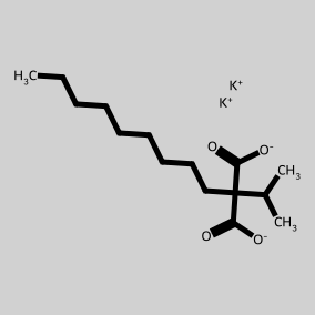 CCCCCCCCCC(C(=O)[O-])(C(=O)[O-])C(C)C.[K+].[K+]